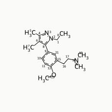 CCn1nc(C)c(C)c1-c1ccc(OC)c(CCN(C)C)c1